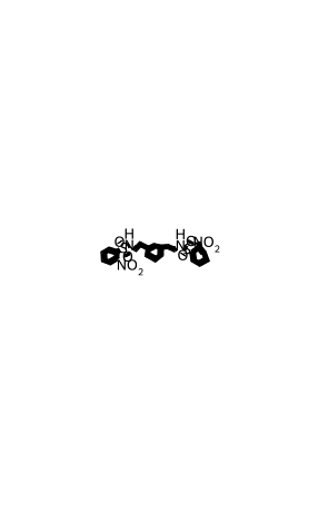 O=[N+]([O-])c1ccccc1S(=O)(=O)NCCc1cccc(CCNS(=O)(=O)c2ccccc2[N+](=O)[O-])c1